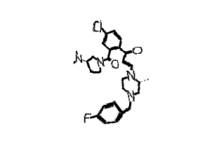 C[C@@H]1CN(Cc2ccc(F)cc2)CCN1/C=C/C(=O)c1ccc(Cl)cc1C(=O)N1CC[C@H](N(C)C)C1